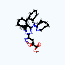 COC(=O)c1cc(-c2nc(N(C)c3ccccn3)c3c(-c4ccccc4)cccc3n2)no1